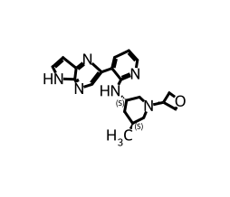 C[C@H]1C[C@H](Nc2ncccc2-c2cnc3[nH]ccc3n2)CN([C]2COC2)C1